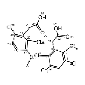 COc1c(Cl)cc(Cl)c(Cl)c1CC(=O)O.COc1ccc(Cl)c(CC(=O)O)c1Cl